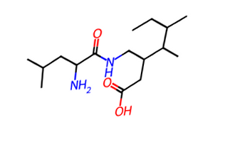 CCC(C)C(C)C(CNC(=O)C(N)CC(C)C)CC(=O)O